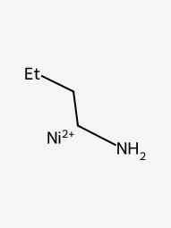 CCCCN.[Ni+2]